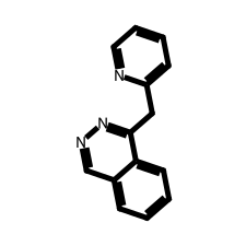 c1ccc(Cc2nncc3ccccc23)nc1